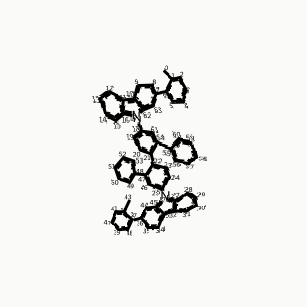 Cc1ccccc1-c1ccc2c3ccccc3n(-c3ccc(-c4ccc(-n5c6ccccc6c6ccc(-c7ccccc7C)cc65)cc4-c4ccccc4)c(-c4ccccc4)c3)c2c1